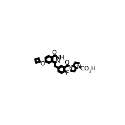 O=C(O)N1CCC2C1CCN2C(=O)c1cc(Cc2n[nH]c(=O)c3ccc(OC4CCC4)cc23)ccc1F